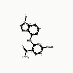 CCn1ccc2c(Nc3nc(SC)ncc3C(N)=O)cccc21